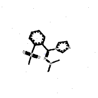 CN(C)/N=C(/c1ccccc1S(C)(=O)=O)n1ccnc1